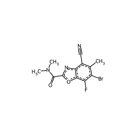 Cc1c(Br)c(F)c2oc(C(=O)N(C)C)nc2c1C#N